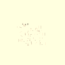 CNC(=O)c1ccc(Nc2ncc3cc(C(N)=O)n(Cc4nccnc4N(C)S(C)(=O)=O)c3n2)cc1